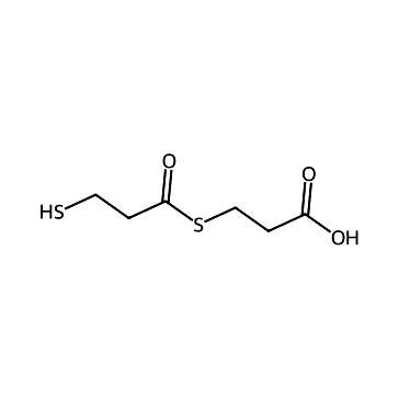 O=C(O)CCSC(=O)CCS